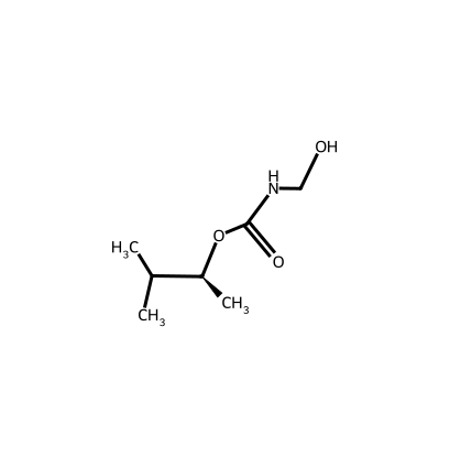 CC(C)[C@H](C)OC(=O)NCO